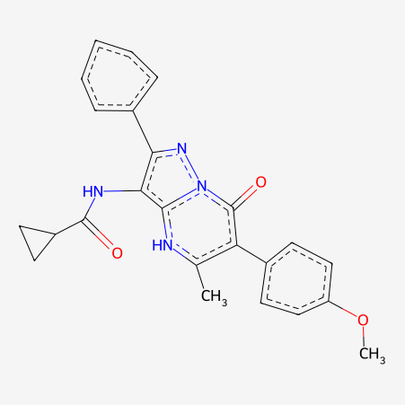 COc1ccc(-c2c(C)[nH]c3c(NC(=O)C4CC4)c(-c4ccccc4)nn3c2=O)cc1